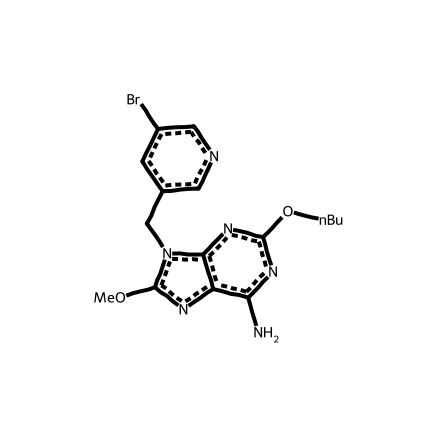 CCCCOc1nc(N)c2nc(OC)n(Cc3cncc(Br)c3)c2n1